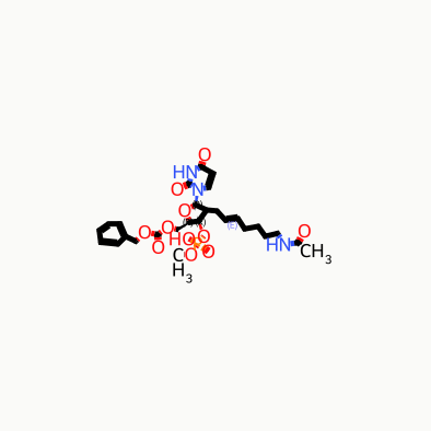 COP(=O)(O)O[C@@H]1C(C/C=C/CCCCNC(C)=O)[C@H](n2ccc(=O)[nH]c2=O)O[C@@H]1COC(=O)OCc1ccccc1